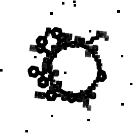 C[C@@]12CCCN1C(=O)[C@H](Cc1ccc(O)cc1)NC(=O)CN1C(=O)[C@@H](N=C(C3CCCCC3)c3ccccc31)NC(=O)[C@H](CCc1c[nH]c3ccc(F)cc13)NC(=O)[C@H](Cc1c[nH]c3ccc(F)cc13)NC(=O)CNC(=O)[C@H](CCCCN)NC(=O)CCSCc1cccc(c1)CSC[C@@H](C(N)=O)NC2=O